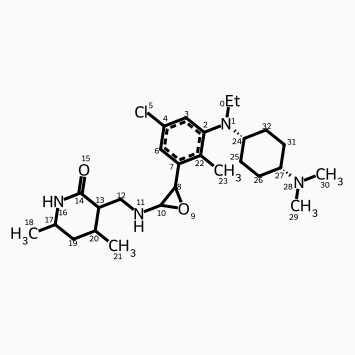 CCN(c1cc(Cl)cc(C2OC2NCC2C(=O)NC(C)CC2C)c1C)[C@H]1CC[C@@H](N(C)C)CC1